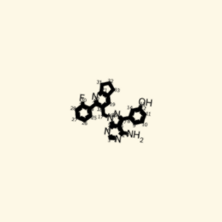 Nc1ncnc2c1c(-c1cccc(O)c1)nn2Cc1cc2c(nc1-c1ccccc1F)CCC2